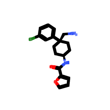 NC[C@]1(c2cccc(Cl)c2)CC[C@@H](NC(=O)c2ccco2)CC1